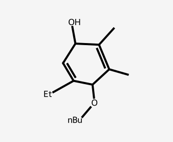 CCCCOC1C(CC)=CC(O)C(C)=C1C